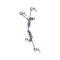 C=C(CCOCCOCCOCCN1CCC/C(=C/CC/C=C/CCOCCOCCOCC/C(=C/CC(O)CCCCCCCCCCCCCCCC)CC(O)CCCCCCCCCCCCCCCC)CC1)CC(CCCCCCCCCCCCCCCC)C1CO1